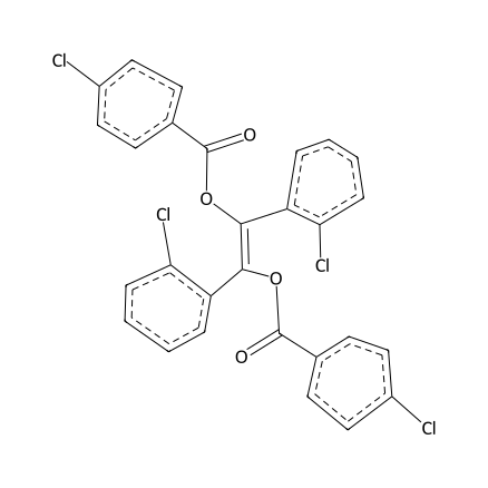 O=C(O/C(=C(/OC(=O)c1ccc(Cl)cc1)c1ccccc1Cl)c1ccccc1Cl)c1ccc(Cl)cc1